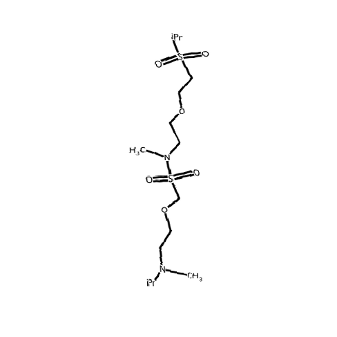 CC(C)N(C)CCOCS(=O)(=O)N(C)CCOCCS(=O)(=O)C(C)C